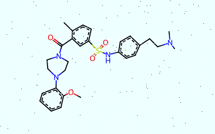 COc1ccccc1N1CCN(C(=O)c2cc(S(=O)(=O)Nc3ccc(CCN(C)C)cc3)ccc2C)CC1